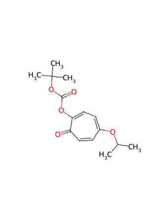 CC(C)Oc1ccc(OC(=O)OC(C)(C)C)c(=O)cc1